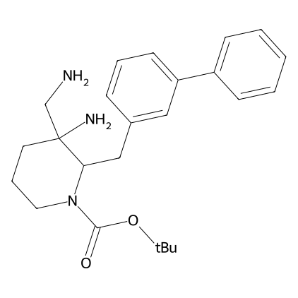 CC(C)(C)OC(=O)N1CCCC(N)(CN)C1Cc1cccc(-c2ccccc2)c1